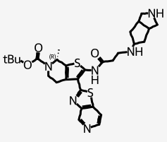 C[C@@H]1c2sc(NC(=O)CCNC3CC4CNCC4C3)c(-c3nc4cnccc4s3)c2CCN1C(=O)OC(C)(C)C